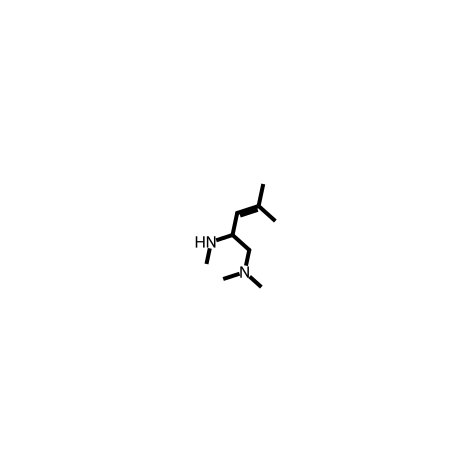 CNC(C=C(C)C)CN(C)C